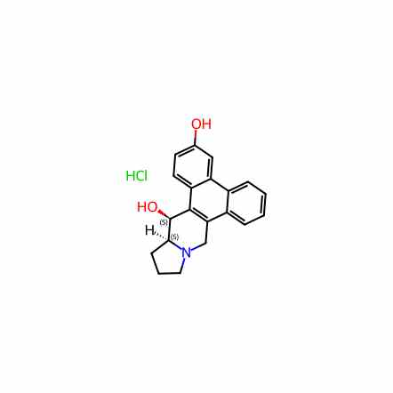 Cl.Oc1ccc2c3c(c4ccccc4c2c1)CN1CCC[C@H]1[C@H]3O